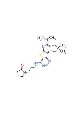 CN(C)c1nc2sc3c(NCCCN4CCCC4=O)ncnc3c2c2c1CC(C)(C)C2